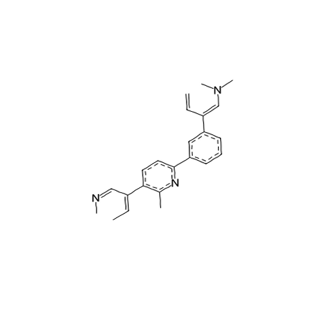 C=C/C(=C\N(C)C)c1cccc(-c2ccc(C(/C=N\C)=C/C)c(C)n2)c1